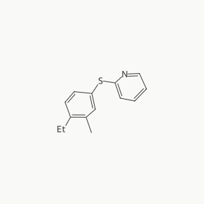 CCc1ccc(Sc2ccccn2)cc1C